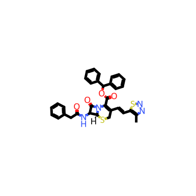 Cc1nnsc1C=CC1=C(C(=O)OC(c2ccccc2)c2ccccc2)N2C(=O)C(NC(=O)Cc3ccccc3)[C@@H]2SC1